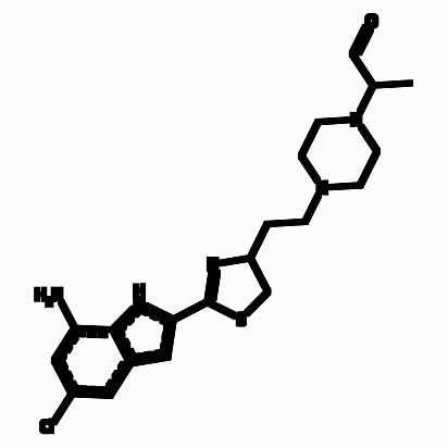 CC(C=O)N1CCN(CCC2CSC(c3cc4cc(Cl)cc(N)c4[nH]3)=N2)CC1